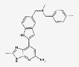 Cc1ccc(CN(C)Cc2ccc3[nH]c(-c4cc(N)nc5[nH]c(C)nc45)cc3c2)cc1